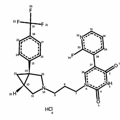 Cl.O=c1[nH]c(=O)n(CCCN2C[C@@H]3C[C@]3(c3ccc(C(F)(F)F)cc3)C2)cc1-c1cccnc1F